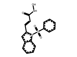 O=C(/C=C/c1cc2ccccc2n1S(=O)(=O)c1ccccc1)NO